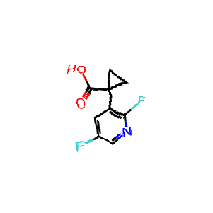 O=C(O)C1(c2cc(F)cnc2F)CC1